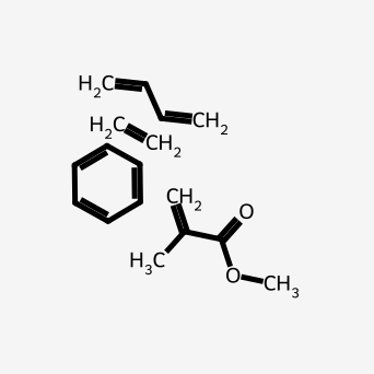 C=C.C=C(C)C(=O)OC.C=CC=C.c1ccccc1